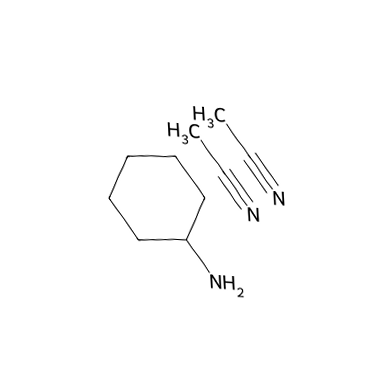 CC#N.CC#N.NC1CCCCC1